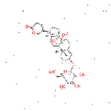 C[C@]12CC[C@H](O[C@@H]3O[C@H](CO)[C@@H](O)[C@H](O)[C@H]3O)C=C1CC[C@]1(O)[C@@H]2CC[C@]2(C)[C@@H](c3ccc(=O)oc3)CC[C@@]21O